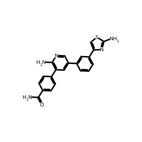 NC(=O)c1ccc(-c2cc(-c3cccc(-c4csc(N)n4)c3)cnc2N)cc1